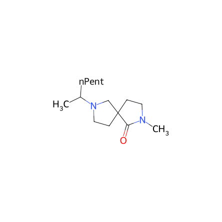 CCCCCC(C)N1CCC2(CCN(C)C2=O)C1